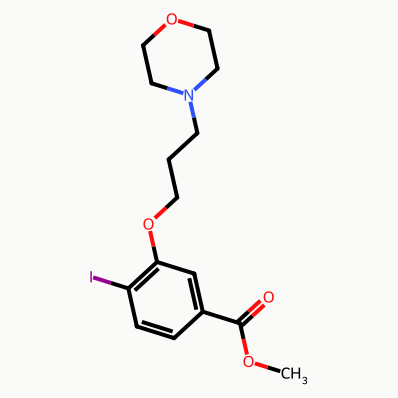 COC(=O)c1ccc(I)c(OCCCN2CCOCC2)c1